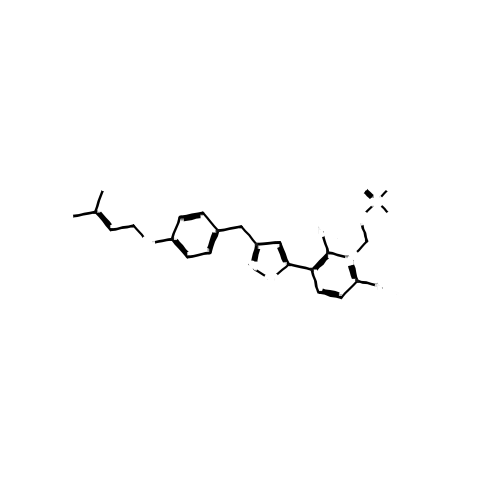 CC(C)=CCOc1ccc(Cc2cc(-c3ccc(N)[n+](COP(=O)([O-])O)c3N)on2)cc1